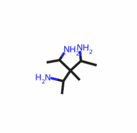 CC(N)C(C)(C(C)N)C(C)N